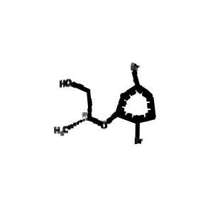 C[C@H](CO)Oc1cc(Br)ccc1Br